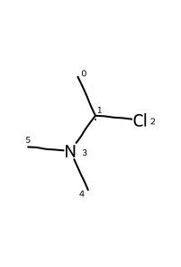 C[C](Cl)N(C)C